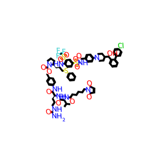 CC(C)C(NC(=O)CCCCCN1C(=O)C=CC1=O)C(=O)N[C@@H](CCCNC(N)=O)C(=O)Nc1ccc(COC(=O)N2CCC[C@@H]2C[C@H](CSc2ccccc2)Nc2ccc(S(=O)(=O)NC(=O)c3ccc(N4CCC([C@@H](O)c5ccccc5-c5ccc(Cl)cc5)CC4)cc3)cc2S(=O)(=O)C(F)(F)F)cc1